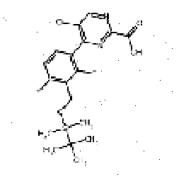 CC(C)(C)[Si](C)(C)OCc1c(F)ccc(-c2nc(C(=O)O)ncc2Cl)c1F